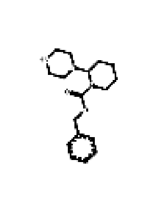 O=C(OCc1ccccc1)N1CCCCC1N1CCNCC1